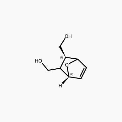 OCC1[C@@H](CO)C2C=C[C@H]1O2